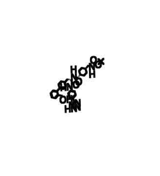 CC(C)(C)OC(=O)NC[C@H]1CC[C@H](C(=O)N[C@@H](Cc2ccc(-c3ccccc3CO)cc2)C(=O)Nc2ccc(-c3nn[nH]n3)cc2)CC1